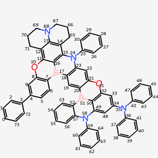 c1ccc(-c2ccc3c(c2)Oc2c4c5c(c6c2B3c2cc3c(cc2N6c2ccccc2)Oc2cc(N(c6ccccc6)c6ccccc6)cc6c2B3c2ccccc2N6c2ccccc2)CCCN5CCC4)cc1